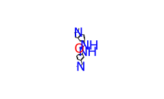 CN(C)Cc1cccc(NC(=O)Nc2ccc3c(ccn3C)c2)c1